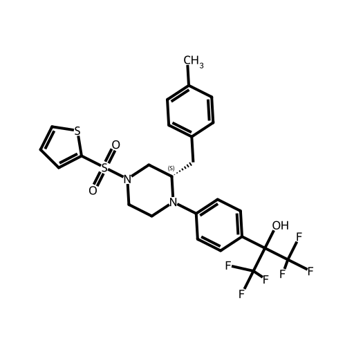 Cc1ccc(C[C@H]2CN(S(=O)(=O)c3cccs3)CCN2c2ccc(C(O)(C(F)(F)F)C(F)(F)F)cc2)cc1